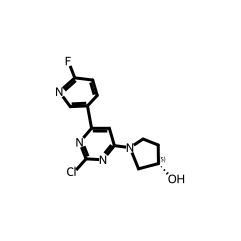 O[C@H]1CCN(c2cc(-c3ccc(F)nc3)nc(Cl)n2)C1